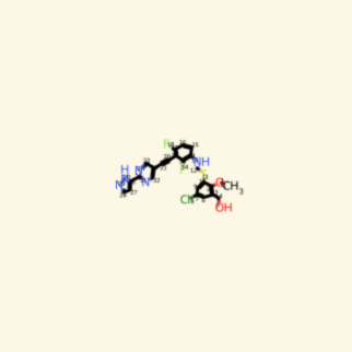 COc1c(CO)cc(Cl)cc1SCNc1ccc(F)c(C#Cc2cnc(-c3ccn[nH]3)nc2)c1F